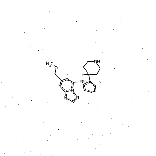 COCc1cc(NCC2(c3ccccc3)CCNCC2)n2ncnc2n1